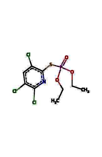 CCOP(=O)(OCC)Sc1nc(Cl)c(Cl)cc1Cl